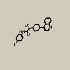 CC[C@H](C(=O)Nc1ccc(F)cc1)C1CCC(c2ccnc3ccccc23)CC1